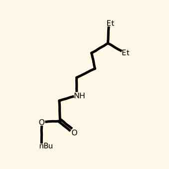 CCCCOC(=O)CNCCCC(CC)CC